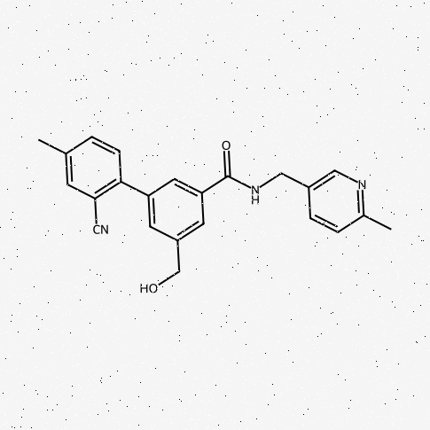 Cc1ccc(-c2cc(CO)cc(C(=O)NCc3ccc(C)nc3)c2)c(C#N)c1